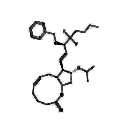 CCCCC(F)(F)[C@@H](/C=C/[C@@H]1C2C/C=C\CCCC(=O)OC2C[C@H]1OC(C)C)OCc1ccccc1